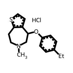 CCc1ccc(OC2CN(C)CCc3sccc32)cc1.Cl